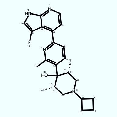 Cc1nc(-c2ccnc3[nH]cc(F)c23)ccc1C1(O)[C@H](C)CN(C2CCC2)C[C@@H]1C